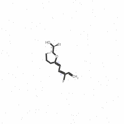 C=C/C(F)=C\C=C1/CCC[C@H]([C@@H](O)CC)O1